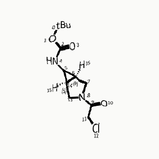 CC(C)(C)OC(=O)NC1[C@H]2CN(C(=O)CCl)C[C@@H]12